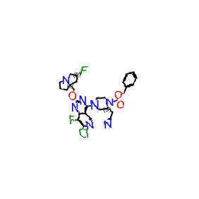 N#CC[C@H]1CN(c2nc(OC[C@@]34CCCN3C[C@H](F)C4)nc3c(F)c(Cl)ncc23)CCN1C(=O)OCc1ccccc1